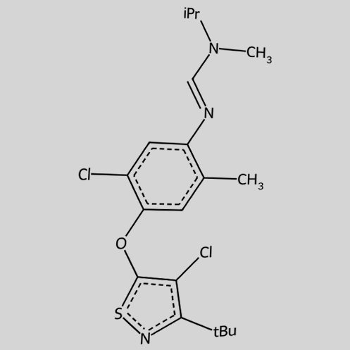 Cc1cc(Oc2snc(C(C)(C)C)c2Cl)c(Cl)cc1N=CN(C)C(C)C